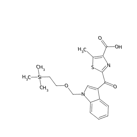 Cc1sc(C(=O)c2cn(COCC[Si](C)(C)C)c3ccccc23)nc1C(=O)O